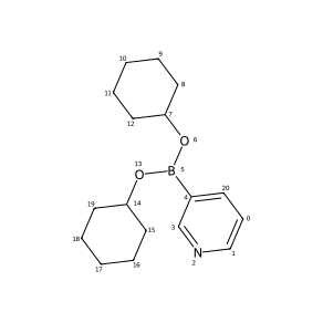 c1cncc(B(OC2CCCCC2)OC2CCCCC2)c1